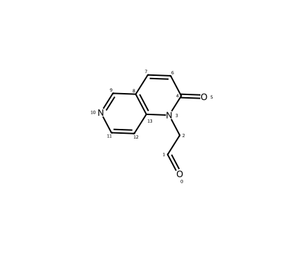 O=CCn1c(=O)ccc2cnccc21